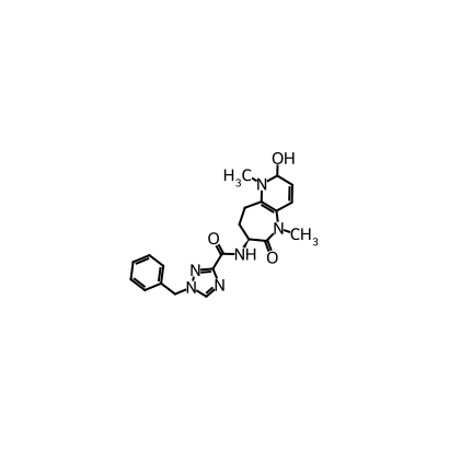 CN1C(=O)[C@@H](NC(=O)c2ncn(Cc3ccccc3)n2)CCC2=C1C=CC(O)N2C